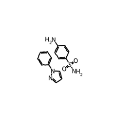 Nc1ccc(S(N)(=O)=O)cc1.c1ccc(-n2cccn2)cc1